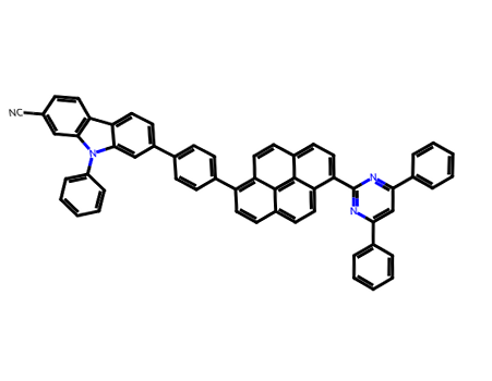 N#Cc1ccc2c3ccc(-c4ccc(-c5ccc6ccc7c(-c8nc(-c9ccccc9)cc(-c9ccccc9)n8)ccc8ccc5c6c87)cc4)cc3n(-c3ccccc3)c2c1